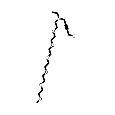 CCN(CC#CCO)CCOCCOCCOCCOCCOCCOC